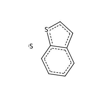 [S].c1ccc2sccc2c1